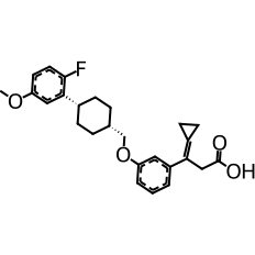 COc1ccc(F)c([C@H]2CC[C@@H](COc3cccc(C(CC(=O)O)=C4CC4)c3)CC2)c1